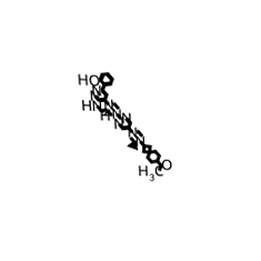 CC(=O)C1CCC2(CC1)CC(N1CCN(c3cnc(N4CCN5c6cc(-c7ccccc7O)nnc6NC[C@H]5C4)nc3)CC13CC3)C2